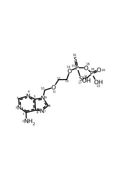 Nc1ncnc2c1ncn2COCCOP(=S)(S)OP(=O)(O)O